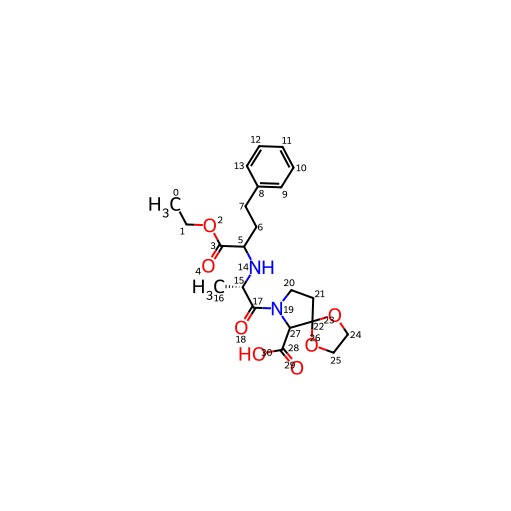 CCOC(=O)C(CCc1ccccc1)N[C@@H](C)C(=O)N1CCC2(OCCO2)C1C(=O)O